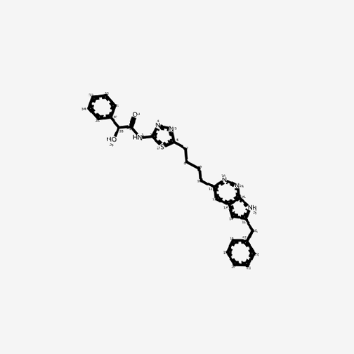 O=C(Nc1nnc(CCCCc2cc3cc(Cc4ccccc4)[nH]c3nn2)s1)C(O)c1ccccc1